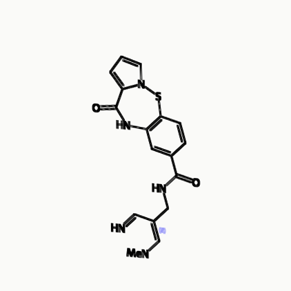 CN/C=C(\C=N)CNC(=O)c1ccc2c(c1)NC(=O)c1cccn1S2